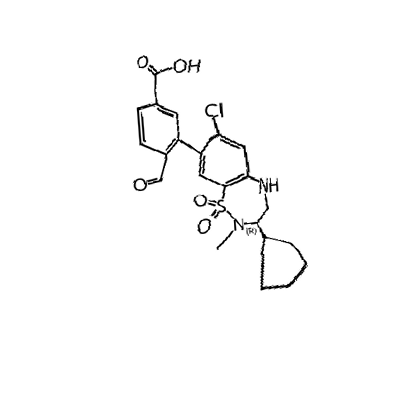 CN1[C@H](C2CCCCC2)CNc2cc(Cl)c(-c3cc(C(=O)O)ccc3C=O)cc2S1(=O)=O